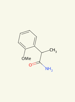 COc1ccccc1[C](C)C(N)=O